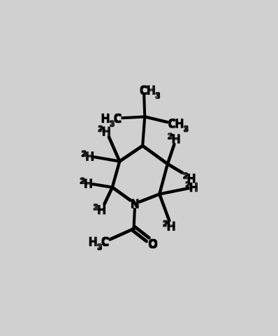 [2H]C1([2H])C(C(C)(C)C)C([2H])([2H])C([2H])([2H])N(C(C)=O)C1([2H])[2H]